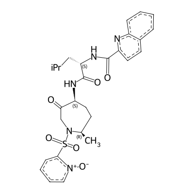 CC(C)C[C@H](NC(=O)c1ccc2ccccc2n1)C(=O)N[C@H]1CC[C@@H](C)N(S(=O)(=O)c2cccc[n+]2[O-])CC1=O